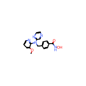 COc1cccnc1N(Cc1ccc(C(=O)NO)cc1)c1cnccn1